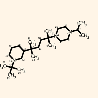 CC(C)N1CCN(C(C)(C)CCC(C)(C)C2CCCN(C(C)(C)C)C2)CC1